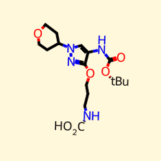 CC(C)(C)OC(=O)Nc1cn(C2CCOCC2)nc1OCCCNC(=O)O